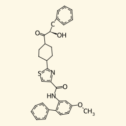 COc1ccc(-c2ccccc2)c(NC(=O)c2csc(C3CCC(C(=O)[C@H](O)Cc4ccccc4)CC3)n2)c1